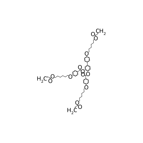 C=CC(=O)OCCCCCCOc1ccc(C(=O)Oc2ccc(-c3ccc(OCCCCCCOC(=O)C=C)cc3)cc2OC(=O)c2ccc(OCCCCCCOC(=O)C=C)cc2)cc1